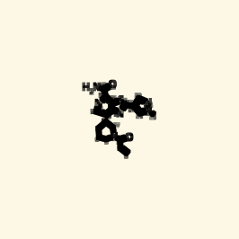 C=CC(=O)N1CCC[C@@H](c2cnc(C(N)=O)c3sc(-c4cnn(C)c4)nc23)C1